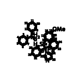 BC(c1ccccc1)c1ccccc1.COc1ccc([SiH2]C(c2ccccc2)(c2ccccc2)n2ccnc2)cc1